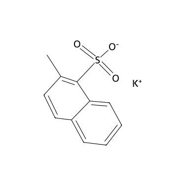 Cc1ccc2ccccc2c1S(=O)(=O)[O-].[K+]